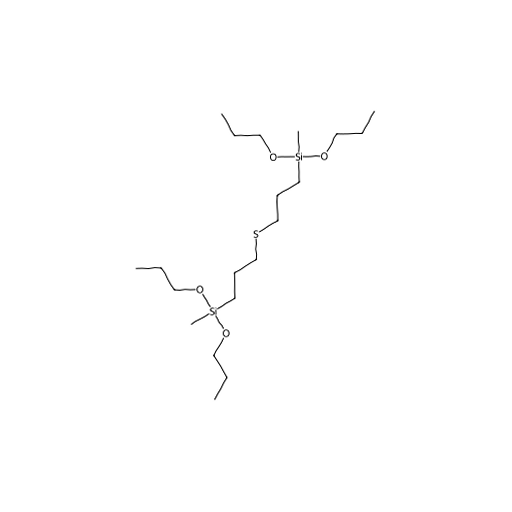 CCCO[Si](C)(CCCSCCC[Si](C)(OCCC)OCCC)OCCC